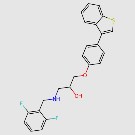 OC(CNCc1c(F)cccc1F)COc1ccc(-c2csc3ccccc23)cc1